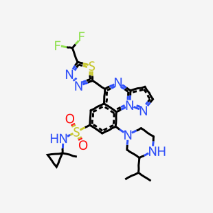 CC(C)C1CN(c2cc(S(=O)(=O)NC3(C)CC3)cc3c(-c4nnc(C(F)F)s4)nc4ccnn4c23)CCN1